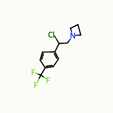 FC(F)(F)c1ccc(C(Cl)CN2CCC2)cc1